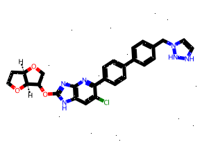 Clc1cc2[nH]c(OC3CO[C@@H]4CCO[C@H]34)nc2nc1-c1ccc(-c2ccc(CN3C=CNN3)cc2)cc1